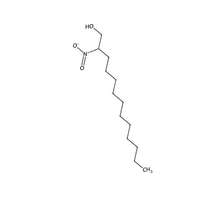 CCCCCCCCCCCC(CO)[N+](=O)[O-]